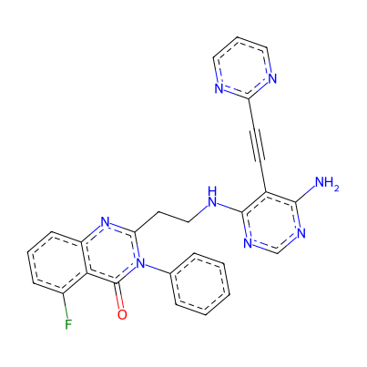 Nc1ncnc(NCCc2nc3cccc(F)c3c(=O)n2-c2ccccc2)c1C#Cc1ncccn1